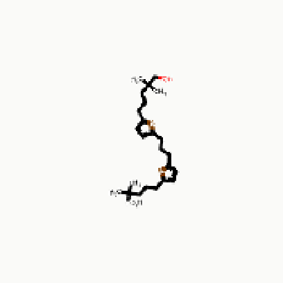 CC(C)(CO)CCCc1ccc(CCCc2ccc(CCCC(C)(C)C(=O)O)s2)s1